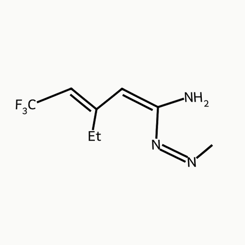 CCC(/C=C(N)\N=N/C)=C\C(F)(F)F